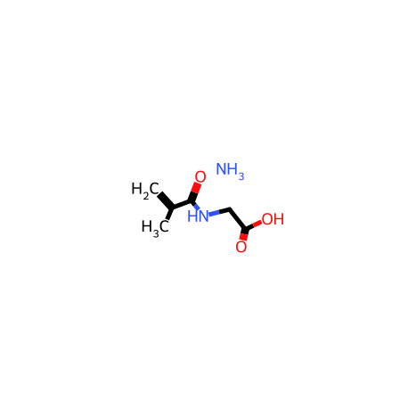 C=C(C)C(=O)NCC(=O)O.N